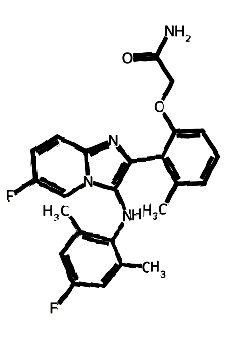 Cc1cc(F)cc(C)c1Nc1c(-c2c(C)cccc2OCC(N)=O)nc2ccc(F)cn12